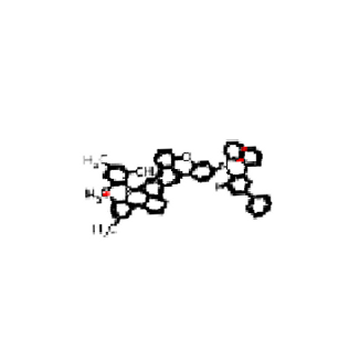 Cc1cc(C)c(B2c3c(C)cc(C)cc3-c3cccc4c3c2cc2c3cccc5c3c(cc42)-c2ccc(N(c3ccccc3)c3c(F)cc(-c4ccccc4)cc3-c3ccccc3)cc2O5)c(C)c1